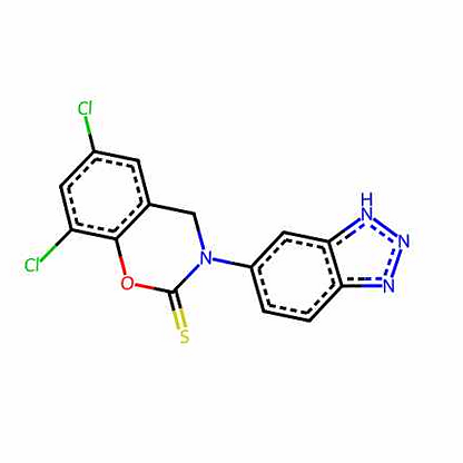 S=C1Oc2c(Cl)cc(Cl)cc2CN1c1ccc2nn[nH]c2c1